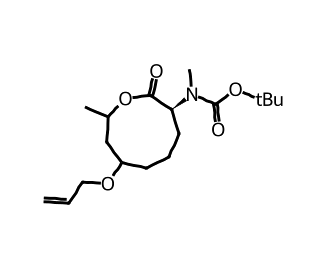 C=CCOC1CCC[C@H](N(C)C(=O)OC(C)(C)C)C(=O)OC(C)C1